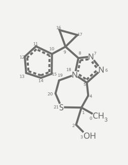 CC1(CO)Cc2nnc(C3(c4ccccc4)CC3)n2CCS1